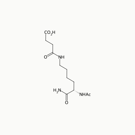 CC(=O)N[C@@H](CCCCNC(=O)CCC(=O)O)C(N)=O